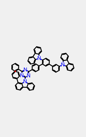 c1ccc(-c2nc(-c3ccc(-c4cc(-c5cccc(-n6c7ccccc7c7ccccc76)c5)ccc4-n4c5ccccc5c5ccccc54)cc3)nc(-n3c4ccccc4c4cccc(-c5ccccc5)c43)n2)cc1